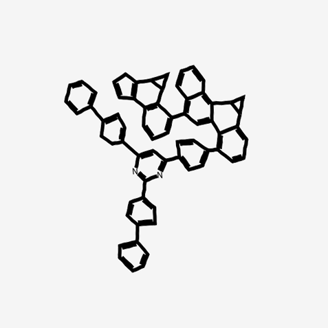 C1=CC2=C(C1)C1CC1c1c2cccc1-c1cc2c(c3ccccc13)C1CC1c1cccc(-c3ccc(-c4cc(C5=CC=C(c6ccccc6)CC5)nc(-c5ccc(-c6ccccc6)cc5)n4)cc3)c1-2